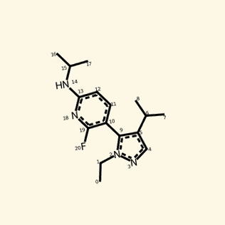 CCn1ncc(C(C)C)c1-c1ccc(NC(C)C)nc1F